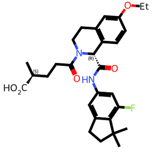 CCOc1ccc2c(c1)CCN(C(=O)CC[C@H](C)C(=O)O)[C@H]2C(=O)Nc1cc(F)c2c(c1)CCC2(C)C